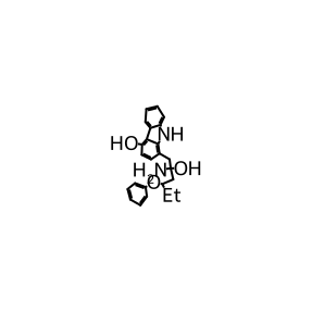 CCC(CC(N)(O)Cc1ccc(O)c2c1[nH]c1ccccc12)Oc1ccccc1